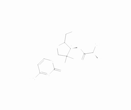 CC(C)[C@H](N)C(=O)O[C@@H]1C([C@H](C)O)O[C@@H](n2ccc(N)nc2=O)C1(F)F